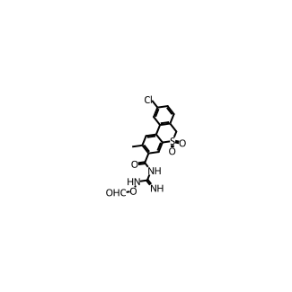 Cc1cc2c(cc1C(=O)NC(=N)NOC=O)S(=O)(=O)Cc1ccc(Cl)cc1-2